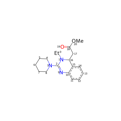 CCN1C(N2CCCCC2)=Nc2ccccc2C1CC(=O)OC